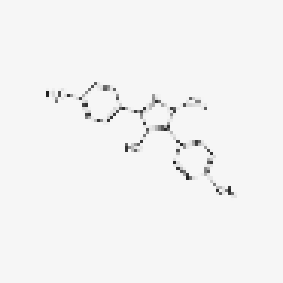 Cc1ccc(-c2nn(C)c(-c3ccc(C)cc3)c2O)cc1